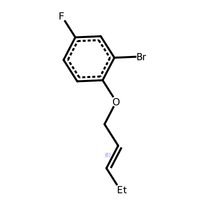 CC/C=C/COc1ccc(F)cc1Br